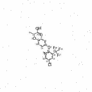 CC(Oc1ccc(Oc2ncc(Cl)cc2C(F)(F)F)cc1)C(=O)O